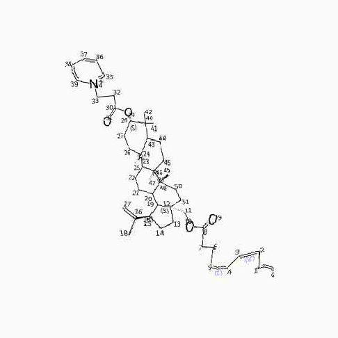 C=C/C=C\C=C/CCC(=O)OC[C@]12CC[C@@H](C(=C)C)C1C1CCC3[C@@]4(C)CC[C@H](OC(=O)CC[n+]5ccccc5)C(C)(C)C4CC[C@@]3(C)[C@]1(C)CC2